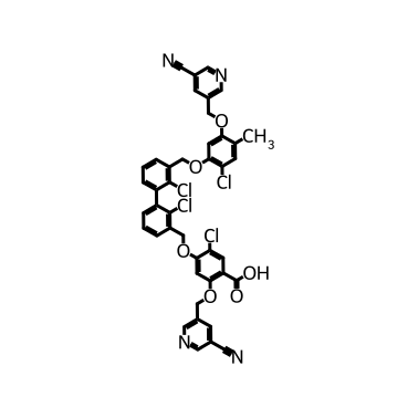 Cc1cc(Cl)c(OCc2cccc(-c3cccc(COc4cc(OCc5cncc(C#N)c5)c(C(=O)O)cc4Cl)c3Cl)c2Cl)cc1OCc1cncc(C#N)c1